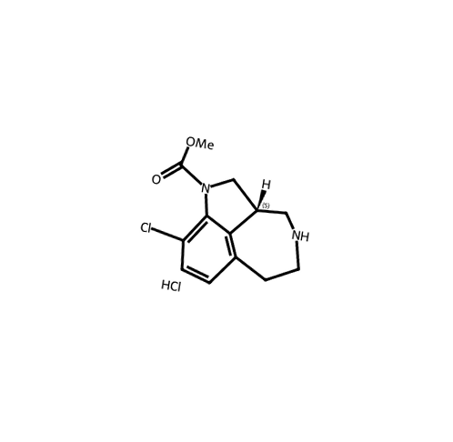 COC(=O)N1C[C@@H]2CNCCc3ccc(Cl)c1c32.Cl